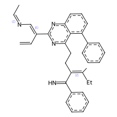 C=C/C(=C\N=C/C)c1nc(CC/C(C(=N)c2ccccc2)=C(\C)CC)c2c(-c3ccccc3)cccc2n1